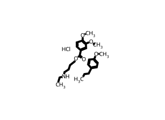 CCCc1ccc(OC)cc1.CCNCCCCOC(=O)c1ccc(OC)c(OC)c1.Cl